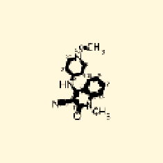 CSN1CCC(Nc2c(C#N)c(=O)n(C)c3ccccc23)CC1